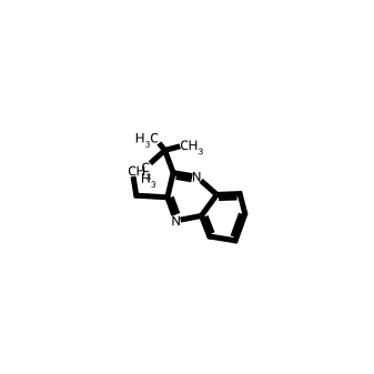 CCc1nc2ccccc2nc1C(C)(C)C